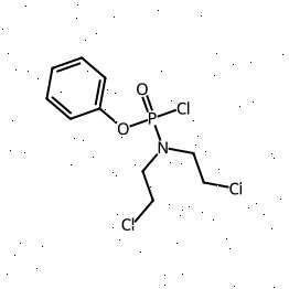 O=P(Cl)(Oc1ccccc1)N(CCCl)CCCl